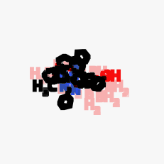 Bc1c(B)c(O)c(B)c(-c2ccc(-c3c(B)c(B)c(B)c(C)c3B)c(-n3c4ccccc4c4ccc5c6ccccc6n(-c6nc(-c7ccccc7)nc(-c7ccccc7-c7ccccc7)n6)c5c43)c2)c1B